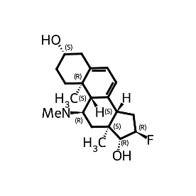 CN[C@@H]1C[C@@]2(C)[C@@H](C[C@@H](F)[C@@H]2O)C2=CC=C3C[C@@H](O)CC[C@]3(C)[C@H]21